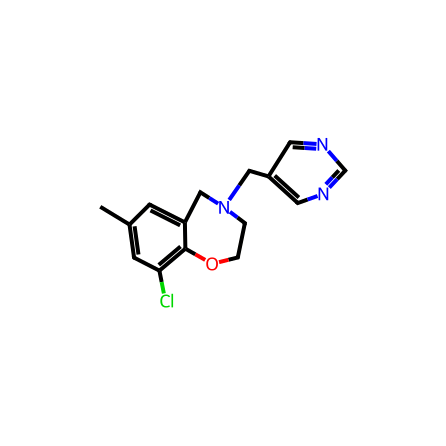 Cc1cc(Cl)c2c(c1)CN(Cc1cncnc1)CCO2